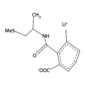 CSCC(C)NC(=O)c1c(I)cccc1C(=O)[O-].[Li+]